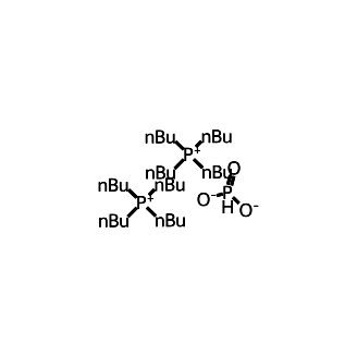 CCCC[P+](CCCC)(CCCC)CCCC.CCCC[P+](CCCC)(CCCC)CCCC.O=[PH]([O-])[O-]